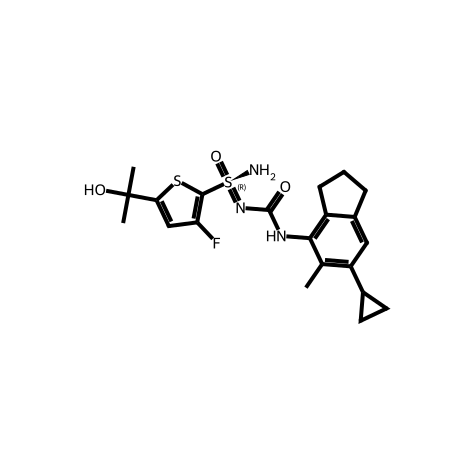 Cc1c(C2CC2)cc2c(c1NC(=O)N=[S@@](N)(=O)c1sc(C(C)(C)O)cc1F)CCC2